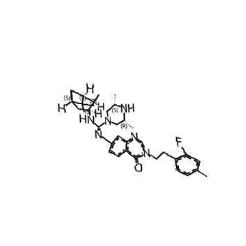 Cc1ccc(CCn2cnc3cc(N=C(N[C@H]4C[C@@H]5C[C@@H]([C@H]4C)C5(C)C)N4C[C@@H](C)N[C@@H](C)C4)ccc3c2=O)c(F)c1